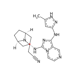 Cc1cc(Nc2nc(N[C@@H]3C[C@H]4CC[C@@H](C3)N4CCC#N)n3ccncc23)n[nH]1